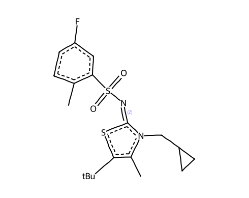 Cc1ccc(F)cc1S(=O)(=O)/N=c1\sc(C(C)(C)C)c(C)n1CC1CC1